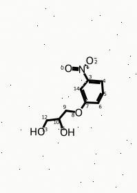 O=[N+]([O-])c1cccc(OCC(O)CO)c1